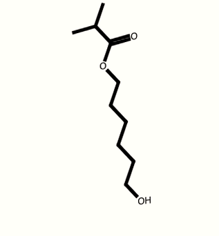 CC(C)C(=O)OCCCCCCO